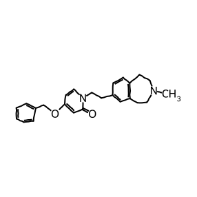 CN1CCc2ccc(CCn3ccc(OCc4ccccc4)cc3=O)cc2CC1